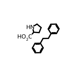 O=C(O)C1CCCN1.c1ccc(CCc2ccccc2)cc1